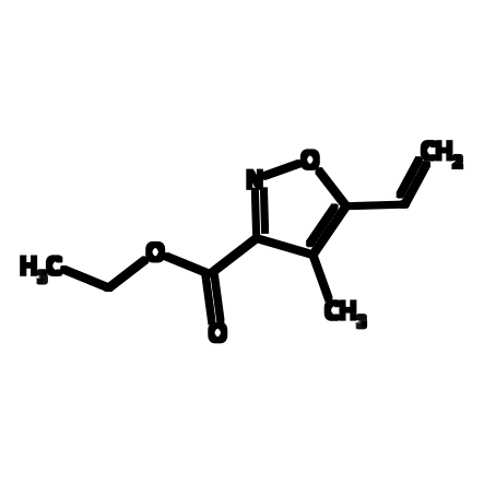 C=Cc1onc(C(=O)OCC)c1C